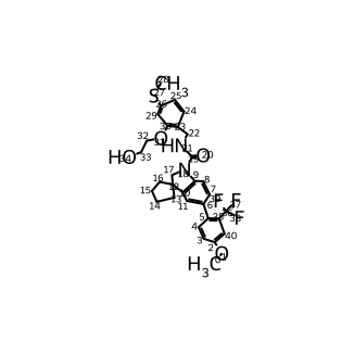 COc1ccc(-c2ccc3c(c2)C2(CCCC2)CN3C(=O)NCc2ccc(SC)cc2OCCO)c(C(F)(F)F)c1